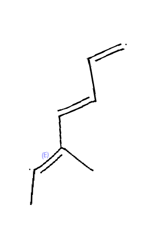 [CH]=CC=C/C(C)=[C]/C